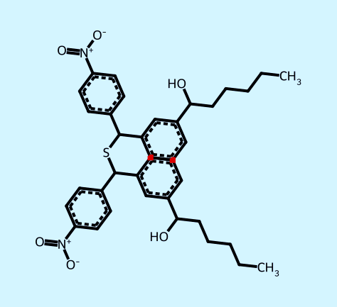 CCCCCC(O)c1cccc(C(SC(c2ccc([N+](=O)[O-])cc2)c2cccc(C(O)CCCCC)c2)c2ccc([N+](=O)[O-])cc2)c1